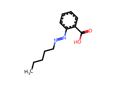 CCCCC/N=N/c1ccccc1C(=O)O